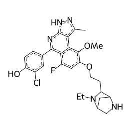 CCN1C2CNC(C2)C1CCOc1cc(F)c2c(-c3ccc(O)c(Cl)c3)nc3[nH]nc(C)c3c2c1OC